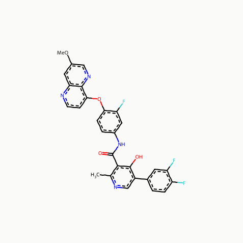 COc1cnc2c(Oc3ccc(NC(=O)c4c(C)ncc(-c5ccc(F)c(F)c5)c4O)cc3F)ccnc2c1